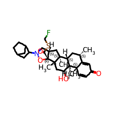 C[C@H]1C[C@@H]2[C@](C)([C@@H](O)C[C@@]3(C)[C@@]2(C)C[C@H]2CN(C4CC5CCC4C5)O[C@]23C(=O)SCF)[C@@]2(C)C=CC(=O)C=C12